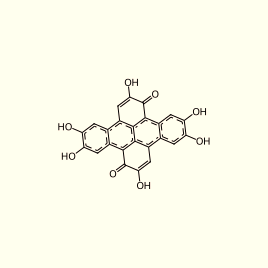 O=C1C(O)=Cc2c3cc(O)c(O)cc3c3c4c(c5cc(O)c(O)cc5c1c24)C=C(O)C3=O